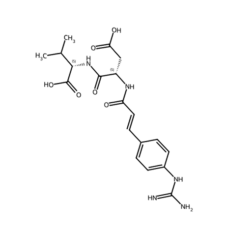 CC(C)[C@H](NC(=O)[C@H](CC(=O)O)NC(=O)C=Cc1ccc(NC(=N)N)cc1)C(=O)O